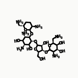 NC[C@@H]1CC[C@@H](N)[C@@H](O[C@@H]2[C@@H](N)[C@H](O)[C@@H](N)[C@H](O)[C@H]2O[C@@H]2O[C@H](CO)[C@@H](OC3O[C@@H](CN)[C@@H](O)[C@H](O)[C@H]3N)[C@H]2O)O1